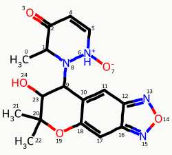 CC1C(=O)C=C[NH+]([O-])N1C1c2cc3nonc3cc2OC(C)(C)C1O